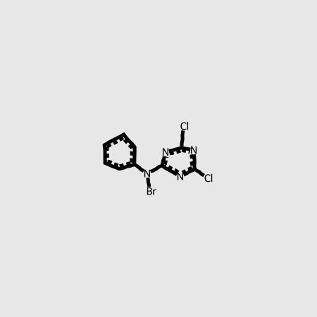 Clc1nc(Cl)nc(N(Br)c2ccccc2)n1